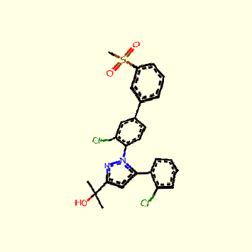 CC(C)(O)c1cc(-c2ccccc2Cl)n(-c2ccc(-c3cccc(S(C)(=O)=O)c3)cc2Cl)n1